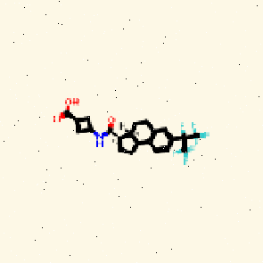 O=C(O)C1CC(NC(=O)[C@@H]2CCC3c4ccc(C(F)(C(F)(F)F)C(F)(F)F)cc4CC[C@H]32)C1